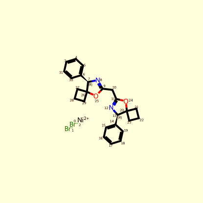 [Br-].[Br-].[Ni+2].c1ccc([C@H]2N=C(CC3=N[C@H](c4ccccc4)C4(CCC4)O3)OC23CCC3)cc1